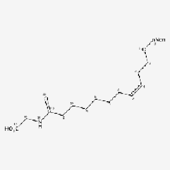 CCCCCCCCCOCC/C=C\CCCCCCC(=O)NCC(=O)O